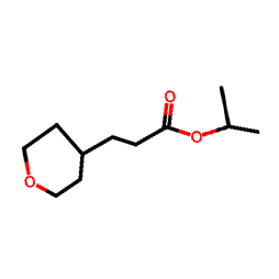 CC(C)OC(=O)CCC1CCOCC1